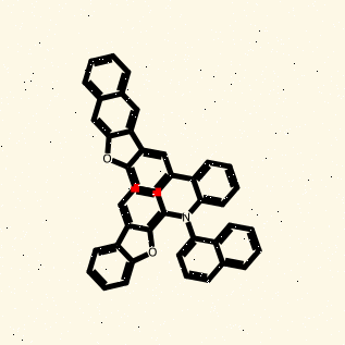 c1ccc(N(c2cccc3ccccc23)c2cccc3c2oc2ccccc23)c(-c2ccc3oc4cc5ccccc5cc4c3c2)c1